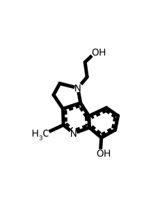 Cc1nc2c(O)cccc2c2c1CCN2CCO